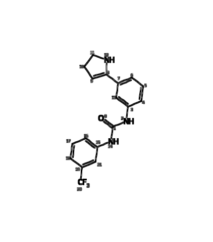 O=C(Nc1cccc(C2=CCCN2)c1)Nc1cccc(C(F)(F)F)c1